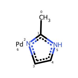 Cc1ncc[nH]1.[Pd]